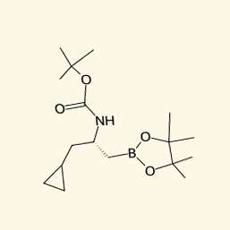 CC(C)(C)OC(=O)N[C@H](CB1OC(C)(C)C(C)(C)O1)CC1CC1